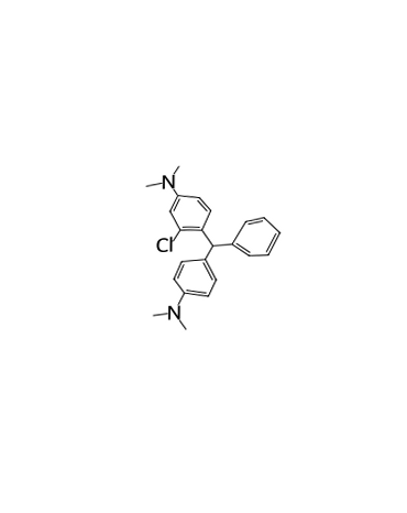 CN(C)c1ccc(C(c2ccccc2)c2ccc(N(C)C)cc2Cl)cc1